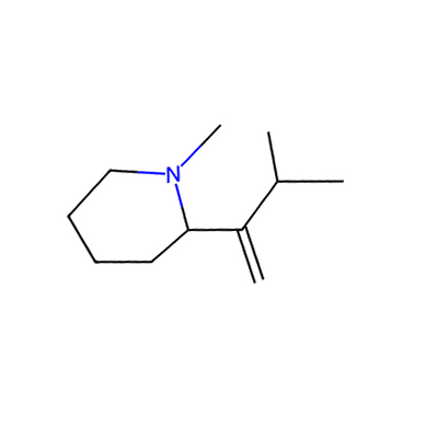 C=C(C(C)C)C1CCCCN1C